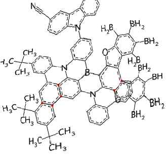 Bc1c(B)c(B)c2c(oc3c4c(c5oc6c(B)c(B)c(B)c(B)c6c5c32)N(c2ccccc2-c2ccccc2)c2cc(-c3cc(C(C)(C)C)cc(C(C)(C)C)c3)cc3c2B4c2ccc(-n4c5ccccc5c5cc(C#N)ccc54)cc2N3c2ccc(C(C)(C)C)cc2-c2ccccc2)c1B